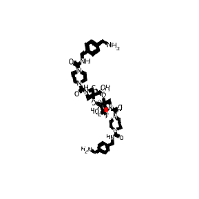 C[C@@]1(O)OC2(CN(C(=O)N3CCN(C(=O)NCc4ccc(CN)cc4)CC3)C2)[C@@](O)(C(F)(F)F)OC12CN(C(=O)N1CCN(C(=O)NCc3ccc(CN)cc3)CC1)C2